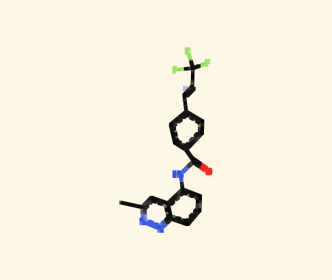 Cc1cc2c(NC(=O)c3ccc(/C=C/C(F)(F)F)cc3)cccc2nn1